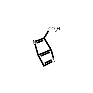 O=C(O)c1nc2cnc1=2